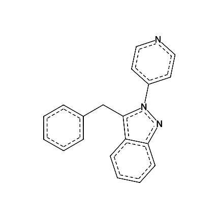 c1ccc(Cc2c3ccccc3nn2-c2ccncc2)cc1